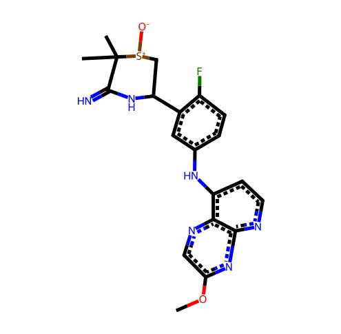 COc1cnc2c(Nc3ccc(F)c(C4C[S+]([O-])C(C)(C)C(=N)N4)c3)ccnc2n1